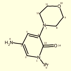 CC(C)n1cc(N)cc(N2CCOCC2)c1=O